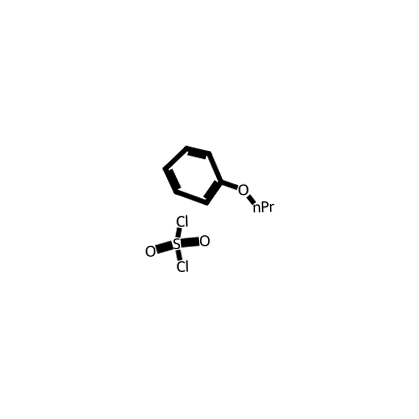 CCCOc1ccccc1.O=S(=O)(Cl)Cl